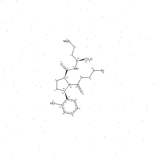 CSCC[C@H](NC(=O)[C@@H]1CS[C@H](c2ccccc2O)N1C(=O)CCSC(C)=O)C(=O)O